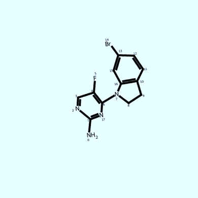 Nc1ncc(F)c(N2CCc3ccc(Br)cc32)n1